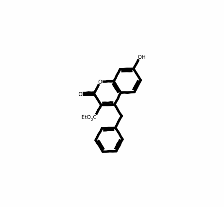 CCOC(=O)c1c(Cc2ccccc2)c2ccc(O)cc2oc1=O